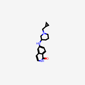 O=c1[nH]ccc2cc(NC3CCCN(CC4CC4)C3)ccc12